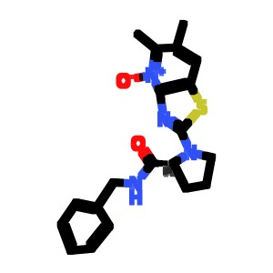 Cc1cc2sc(N3CCC[C@@H]3C(=O)NCc3ccccc3)nc2[n+]([O-])c1C